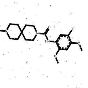 COc1cc(OC)c(NC(=O)N2CCC3(CCN(C)CC3)CC2)cc1Cl